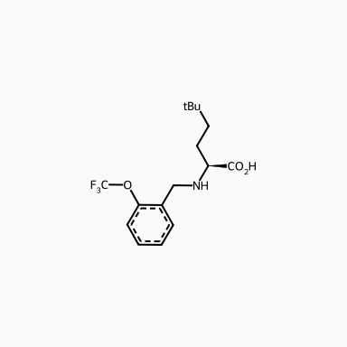 CC(C)(C)CC[C@H](NCc1ccccc1OC(F)(F)F)C(=O)O